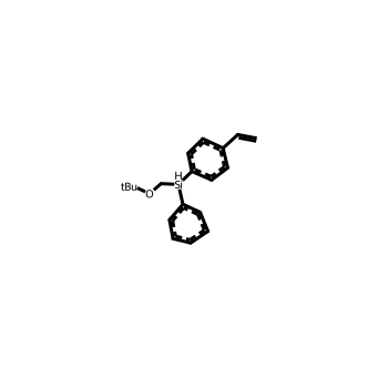 C=Cc1ccc([SiH](COC(C)(C)C)c2ccccc2)cc1